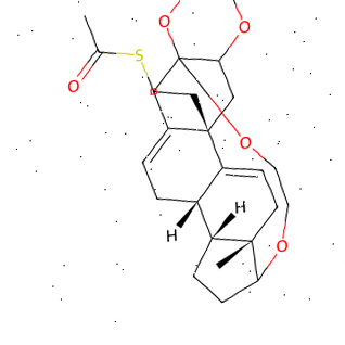 CC(=O)SCC[C@]12CC3OCCOC34CC1=CC[C@@H]1C2=CC[C@]2(C)C(CC[C@H]12)OCCO4